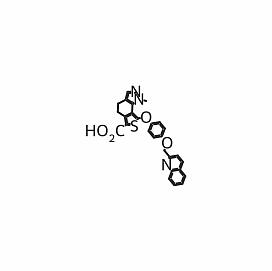 Cn1ncc2c1-c1c(Oc3ccc(OCc4ccc5ccccc5n4)cc3)sc(C(=O)O)c1CC2